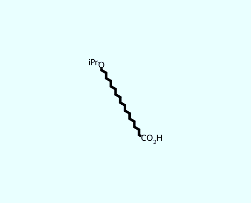 CC(C)OCCCCCCCCCCCCCCCCCC(=O)O